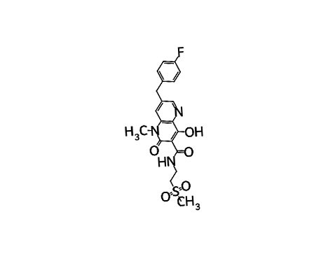 Cn1c(=O)c(C(=O)NCCS(C)(=O)=O)c(O)c2ncc(Cc3ccc(F)cc3)cc21